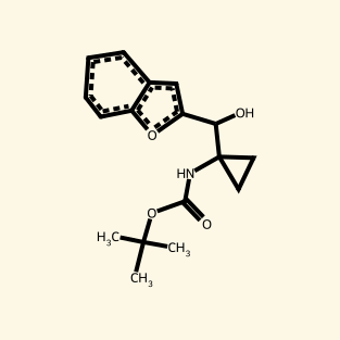 CC(C)(C)OC(=O)NC1(C(O)c2cc3ccccc3o2)CC1